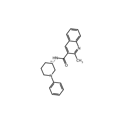 Cc1nc2ccccc2cc1C(=O)N[C@H]1CCCN(c2ccccc2)C1